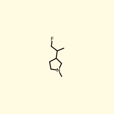 CC(CF)C1CCN(C)C1